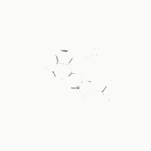 NC(=O)c1ccccc1C(=O)N[C@@H](CCC(=O)O)C(=O)O.[NaH].[NaH].[NaH]